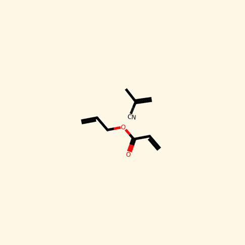 C=C(C)C#N.C=CCOC(=O)C=C